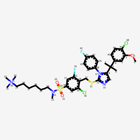 COc1cc(C(C)(C)c2cnc(SCc3c(F)cc(S(=O)(=O)N(C)CCCCCC[N+](C)(C)C)cc3Cl)n2-c2ccc(F)cc2)ccc1Cl